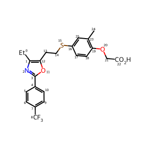 CCc1nc(-c2ccc(C(F)(F)F)cc2)oc1CCSc1ccc(OCC(=O)O)c(C)c1